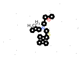 CC1(C)c2ccccc2-c2ccc(N(c3ccc(-c4cccc5c4oc4ccccc45)cc3)c3ccc4sc5ccc6c(c5c4c3)-c3ccccc3C63c4ccccc4-c4ccccc43)cc21